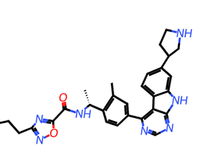 CCCCc1noc(C(=O)N[C@H](C)c2ccc(-c3ncnc4[nH]c5cc(C6CCNC6)ccc5c34)cc2C)n1